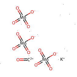 [C+2]=O.[K+].[O]=[Mn](=[O])(=[O])[O-].[O]=[Mn](=[O])(=[O])[O-].[O]=[Mn](=[O])(=[O])[O-]